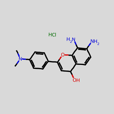 CN(C)c1ccc(C2=CC(O)c3ccc(N)c(N)c3O2)cc1.Cl